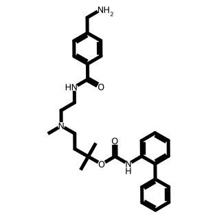 CN(CCNC(=O)c1ccc(CN)cc1)CCC(C)(C)OC(=O)Nc1ccccc1-c1ccccc1